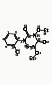 CCON1SN(c2ccccc2Cl)C(=O)N(OCC)C1=O